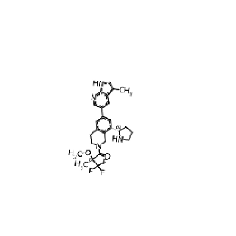 CO[C@@](C)(C(=O)N1CCc2cc(-c3cnc4[nH]cc(C)c4c3)cc([C@@H]3CCCN3)c2C1)C(F)(F)F